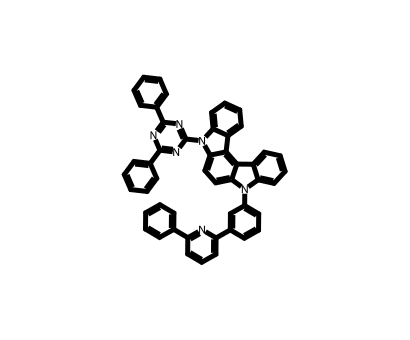 c1ccc(-c2cccc(-c3cccc(-n4c5ccccc5c5c6c7ccccc7n(-c7nc(-c8ccccc8)nc(-c8ccccc8)n7)c6ccc54)c3)n2)cc1